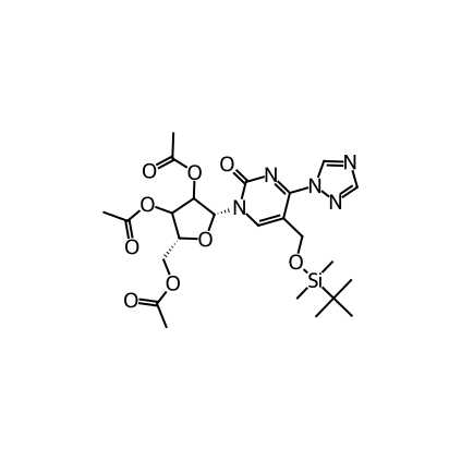 CC(=O)OC[C@H]1O[C@@H](n2cc(CO[Si](C)(C)C(C)(C)C)c(-n3cncn3)nc2=O)C(OC(C)=O)C1OC(C)=O